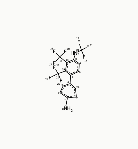 Nc1ccc(-c2ccc(NC(F)(F)F)c(C(F)(F)F)c2C(F)(F)F)cc1